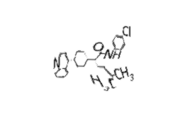 CC(C)=CC[C@@H](C(=O)Nc1ccc(Cl)cc1)[C@H]1CC[C@@H](c2ccnc3ccccc32)CC1